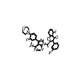 CC(c1oc2cccc(F)c2c(=O)c1-c1cccc(F)c1)n1nc(-c2ccc(N3CCOCC3)c(F)c2)c2c(N(C)C)ncnc21